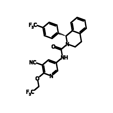 N#Cc1cc(NC(=O)N2CCc3ccccc3[C@H]2c2ccc(C(F)(F)F)cc2)cnc1OCC(F)(F)F